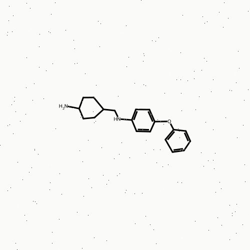 NC1CCC(CNc2ccc(Oc3ccccc3)cc2)CC1